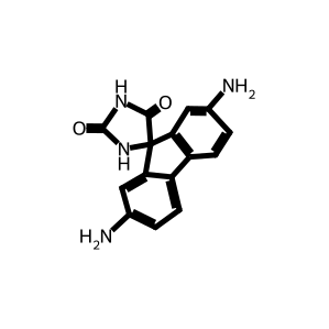 Nc1ccc2c(c1)C1(NC(=O)NC1=O)c1cc(N)ccc1-2